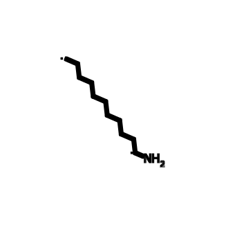 [CH2]CCCCCCCCC[CH]N